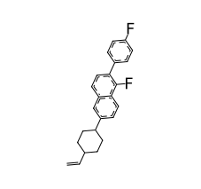 C=CC1CCC(c2ccc3c(F)c(-c4ccc(F)cc4)ccc3c2)CC1